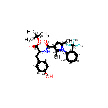 Cc1cc(C(=O)NC(Cc2ccc(O)cc2)C(=O)OC(C)(C)C)c(C)n1-c1ccccc1C(F)(F)F